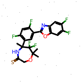 CC1(C)OCC(=S)NC(C)(c2cc(-c3nc4cc(F)c(F)cc4o3)c(F)cc2F)C1(F)F